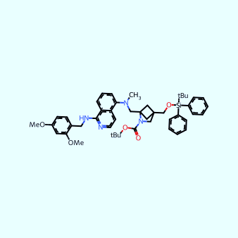 COc1ccc(CNc2nccc3c(N(C)CC45CC(CO[Si](c6ccccc6)(c6ccccc6)C(C)(C)C)(CN4C(=O)OC(C)(C)C)C5)cccc23)c(OC)c1